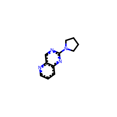 c1cnc2cnc(N3CCCC3)nc2c1